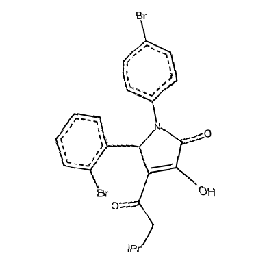 CC(C)CC(=O)C1=C(O)C(=O)N(c2ccc(Br)cc2)C1c1ccccc1Br